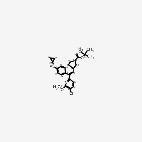 COc1nc(C(=C[C@H]2CCN(C(=O)OC(C)(C)C)C2)c2ccc(SC3CC3)cc2)ccc1Cl